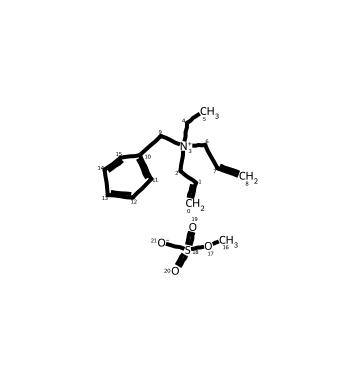 C=CC[N+](CC)(CC=C)Cc1ccccc1.COS(=O)(=O)[O-]